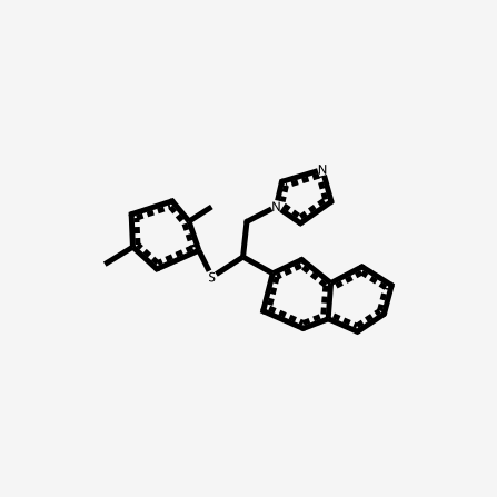 Cc1ccc(C)c(SC(Cn2ccnc2)c2ccc3ccccc3c2)c1